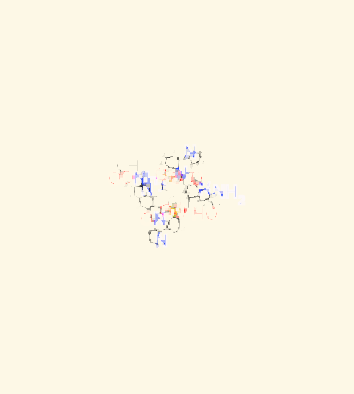 CC(=O)OCc1cc2ccc(CN(C(=O)c3cccnc3)c3ccccc3S(C)(=O)=O)cc2nc1N.CS(=O)(=O)c1ccccc1N(Cc1ccc2cc(CO)c(N)nc2c1)C(=O)c1cccnc1